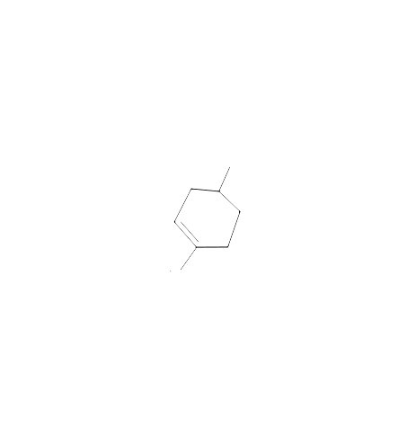 CC(=O)C1=CCC(P)CC1